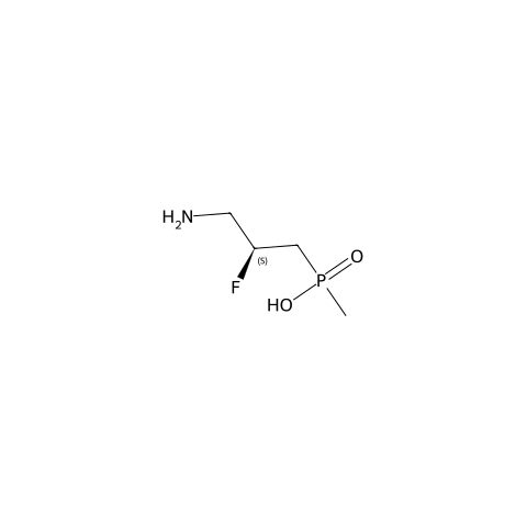 CP(=O)(O)C[C@@H](F)CN